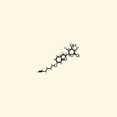 C#CCCCCOc1ccc2cc(-c3oc(=O)c(C)c(O)c3C)oc2c1